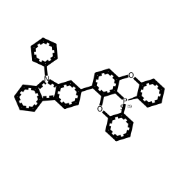 S=[P@]12c3ccccc3Oc3ccc(-c4ccc5c6ccccc6n(-c6ccccc6)c5c4)c(c31)Oc1ccccc12